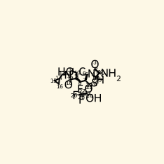 N[C@@H]1C(=O)N2C(C(=O)O)=C(C=C3CCN(CC4CC4)C3=O)CS[C@H]12.O=C(O)C(F)(F)F